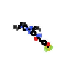 Cc1nc(N2CCC(N(C)C)CC2)nc2ccc(NC(=O)C=Cc3ccc(OC(SF)(SF)SF)cc3)cc12